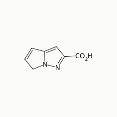 O=C(O)c1cc2n(n1)CC=C2